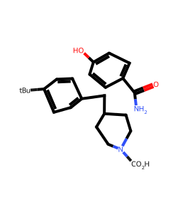 CC(C)(C)c1ccc(CC2CCN(C(=O)O)CC2)cc1.NC(=O)c1ccc(O)cc1